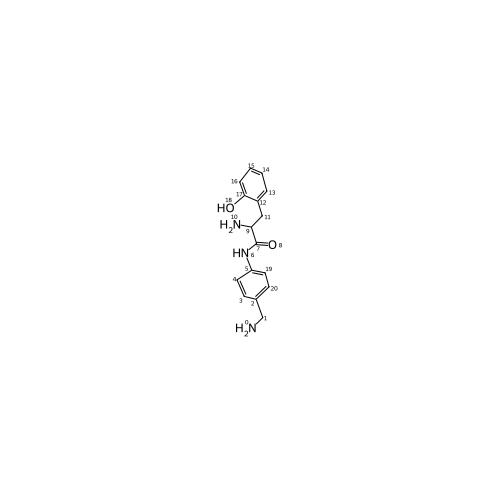 NCc1ccc(NC(=O)C(N)Cc2ccccc2O)cc1